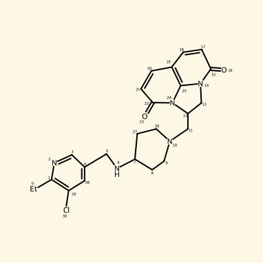 CCc1ncc(CNC2CCN(CC3Cn4c(=O)ccc5ccc(=O)n3c54)CC2)cc1Cl